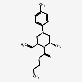 C=C[C@H]1CN(c2ccc(C)cc2)C[C@@H](C)N1C(=O)OCCC